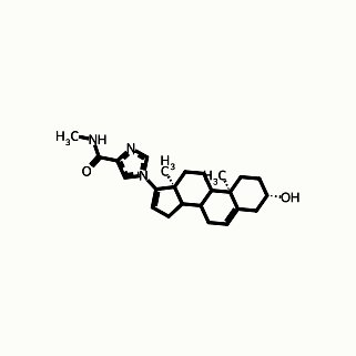 CNC(=O)c1cn(C2=CCC3C4CC=C5C[C@@H](O)CC[C@]5(C)C4CC[C@]23C)cn1